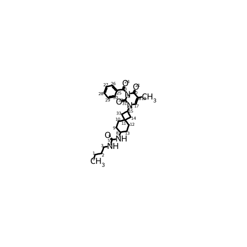 CCCCNC(=O)NC1CCC2(CC1)CC(n1cc(C)c(=O)n(C(=O)c3ccccc3)c1=O)C2